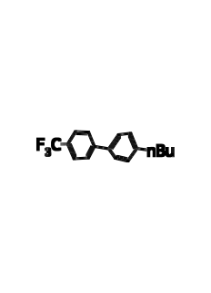 CCCCc1ccc(-c2ccc(C(F)(F)F)cc2)cc1